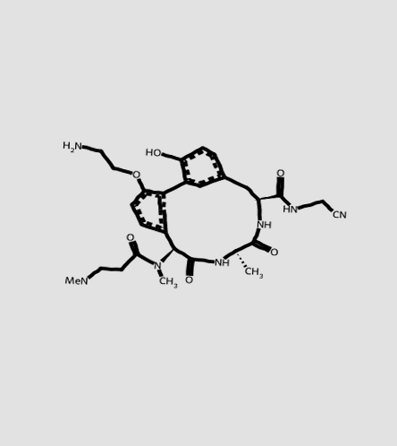 CNCCC(=O)N(C)[C@@H]1C(=O)N[C@@H](C)C(=O)N[C@H](C(=O)NCC#N)Cc2ccc(O)c(c2)-c2cc1ccc2OCCN